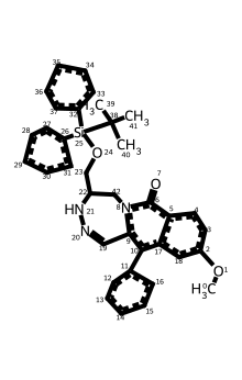 COc1ccc2c(=O)n3c(c(-c4ccccc4)c2c1)C=NNC(CO[Si](c1ccccc1)(c1ccccc1)C(C)(C)C)C3